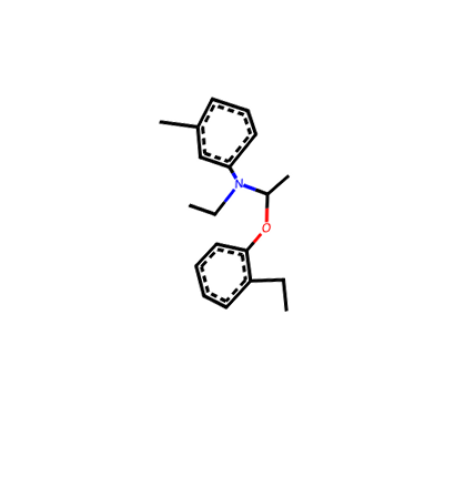 CCc1ccccc1OC(C)N(CC)c1cccc(C)c1